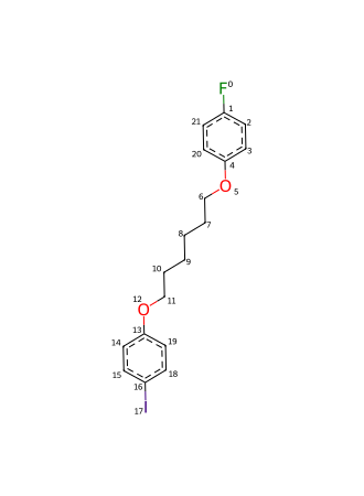 Fc1ccc(OCCCCCCOc2ccc(I)cc2)cc1